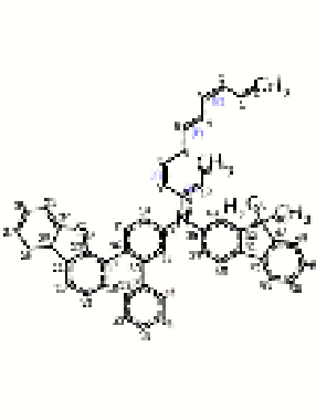 C=C/C=C\C=C\C/C=C\C(=C/C)N(c1ccc(-c2cccc3c2SC2=CC=CCC23)c(-c2ccccc2)c1)c1ccc2c(c1)C(C)(C)c1ccccc1-2